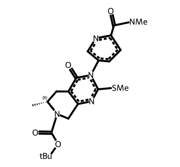 CNC(=O)c1ccc(-n2c(SC)nc3c(c2=O)C[C@@H](C)N(C(=O)OC(C)(C)C)C3)cn1